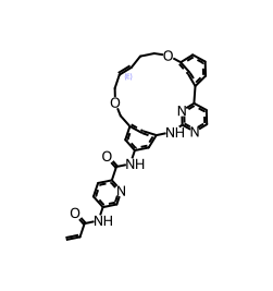 C=CC(=O)Nc1ccc(C(=O)Nc2cc3cc(c2)Nc2nccc(n2)-c2cccc(c2)OCC/C=C/COC3)nc1